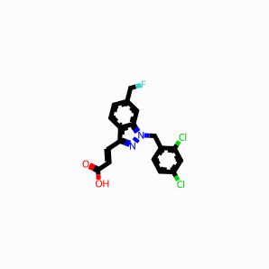 O=C(O)C=Cc1nn(Cc2ccc(Cl)cc2Cl)c2cc(CF)ccc12